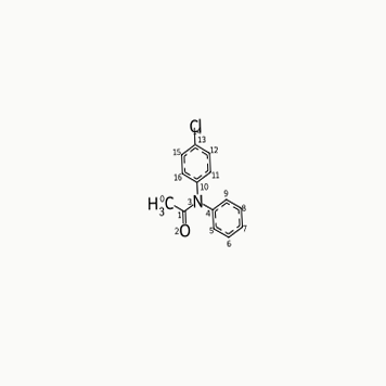 CC(=O)N(c1ccccc1)c1ccc(Cl)cc1